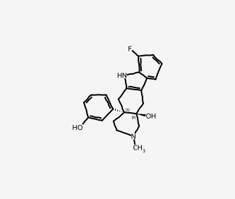 CN1CC[C@@]2(c3cccc(O)c3)Cc3[nH]c4c(F)cccc4c3C[C@]2(O)C1